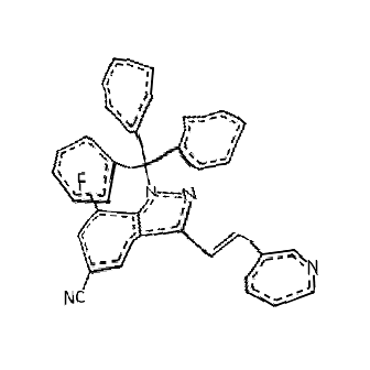 N#Cc1cc(F)c2c(c1)c(/C=C/c1cccnc1)nn2C(c1ccccc1)(c1ccccc1)c1ccccc1